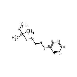 CCC(C)(C)C[CH]CCCc1ccccc1